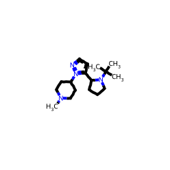 CN1CCC(n2nccc2C2CCCN2C(C)(C)C)CC1